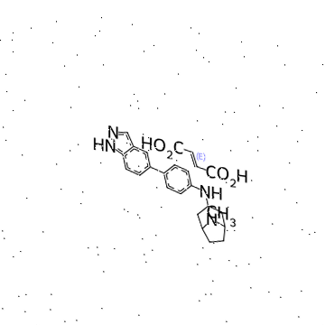 CN1C2CCC1CC(Nc1ccc(-c3ccc4[nH]ncc4c3)cc1)C2.O=C(O)/C=C/C(=O)O